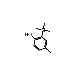 Cc1ccc(O)c([Si](C)(C)C)c1